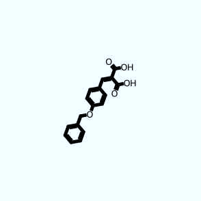 O=C(O)C(=Cc1ccc(OCc2ccccc2)cc1)C(=O)O